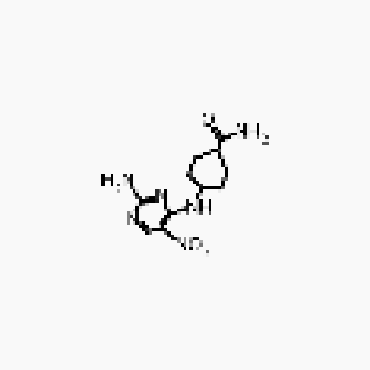 NC(=O)C1CCC(Nc2nc(N)ncc2[N+](=O)[O-])CC1